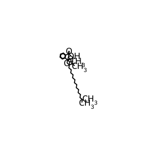 CC(C)CCCCCCCCCCCCCC(OC(=O)c1ccccc1C(=O)O)C(C)C